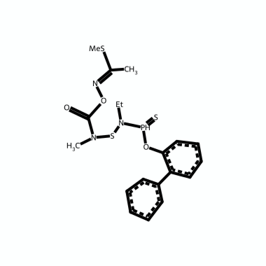 CCN(SN(C)C(=O)ON=C(C)SC)[PH](=S)Oc1ccccc1-c1ccccc1